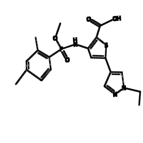 CCn1cc(-c2cc(NP(=O)(OC)c3ccc(C)cc3C)c(C(=O)O)s2)cn1